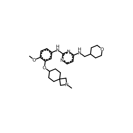 COc1ccc(Nc2nccc(NCC3CCOCC3)n2)cc1OC1CCC2(CC1)CN(C)C2